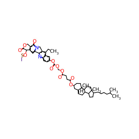 CCc1c2c(nc3ccc(OC(=O)OCOC(=O)CCC(=O)OC4CCC5(C)C(=CCC6C7CCC(CCCCC(C)C)C7(C)CC[C@@H]65)C4)cc13)-c1cc3c(c(=O)n1C2)COC(=O)C3OSI